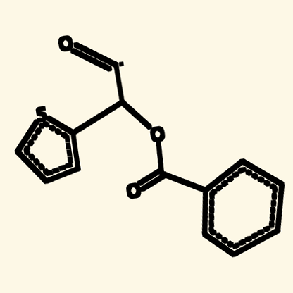 O=[C]C(OC(=O)c1ccccc1)c1cccs1